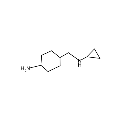 NC1CCC(CNC2CC2)CC1